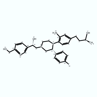 C[C@H](O)CCc1ccc(N2CCN(C[C@@H](O)c3ccc(CO)nc3)C[C@H]2c2ccc(F)cc2)c(N)c1